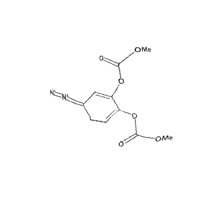 COC(=O)OC1=CCC(=[N+]=[N-])C=C1OC(=O)OC